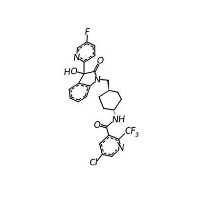 O=C(N[C@H]1CC[C@H](CN2C(=O)C(O)(c3ccc(F)cn3)c3ccccc32)CC1)c1cc(Cl)cnc1C(F)(F)F